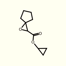 O=C(OC1CC1)C1OC12CCCC2